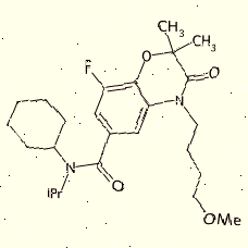 COCCCCN1C(=O)C(C)(C)Oc2c(F)cc(C(=O)N(C(C)C)C3CCCCC3)cc21